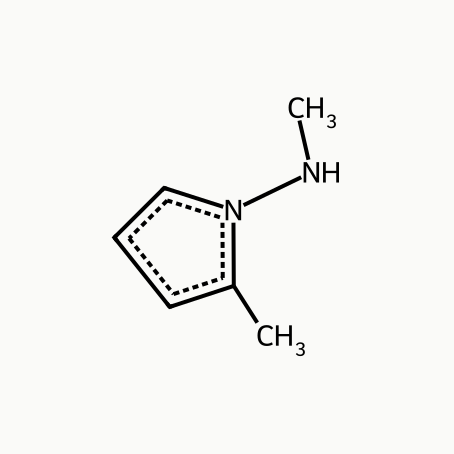 CNn1cccc1C